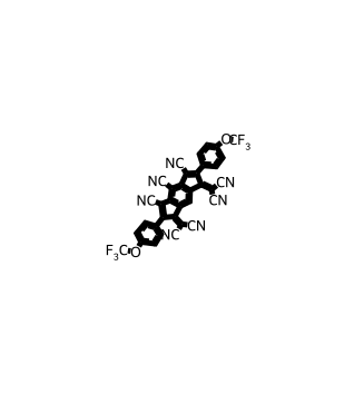 N#CC(C#N)=C1C(c2ccc(OC(F)(F)F)cc2)=C(C#N)c2c1cc1c(c2C#N)C(C#N)=C(c2ccc(OC(F)(F)F)cc2)C1=C(C#N)C#N